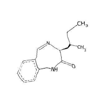 CCC(C)[C@@H]1N=Cc2ccccc2NC1=O